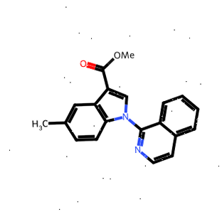 COC(=O)c1cn(-c2nccc3ccccc23)c2ccc(C)cc12